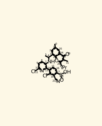 Cc1cc(C(C)Nc2ccc(Cl)nc2-c2ccc3c(c2Cl)C=NOB3O)c2oc(C(C)C)c(C)c(=O)c2c1